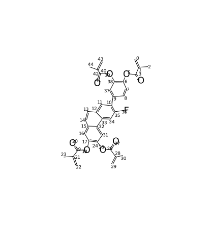 C=C(C)C(=O)Oc1ccc(-c2cc3ccc4cc(OC(=O)C(=C)C)c(OC(=O)C(=C)C)cc4c3cc2F)cc1OC(=O)C(=C)C